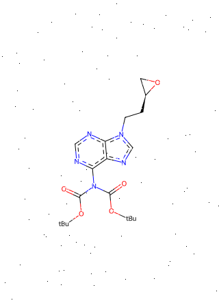 CC(C)(C)OC(=O)N(C(=O)OC(C)(C)C)c1ncnc2c1ncn2CC[C@H]1CO1